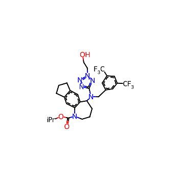 CC(C)OC(=O)N1CCCC(N(Cc2cc(C(F)(F)F)cc(C(F)(F)F)c2)c2nnn(CCO)n2)c2cc3c(cc21)CCC3